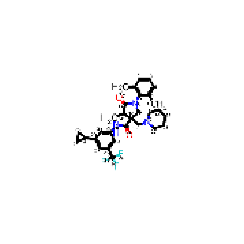 Cc1cccc(C)c1N1CC(CN2CCCCC2)(C(=O)Nc2cc(C3CC3)cc(C(F)(F)F)c2)C(C)C1=O